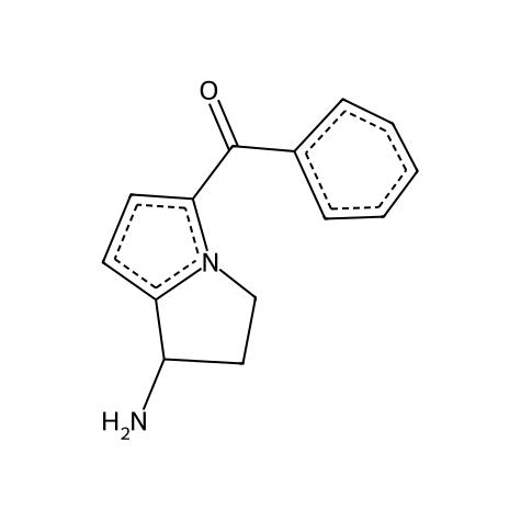 NC1CCn2c(C(=O)c3ccccc3)ccc21